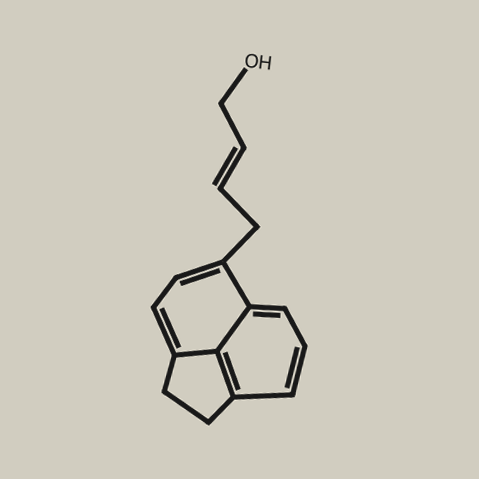 OC/C=C/Cc1ccc2c3c(cccc13)CC2